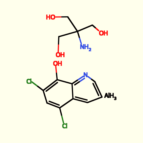 NC(CO)(CO)CO.Oc1c(Cl)cc(Cl)c2cccnc12.[AlH3]